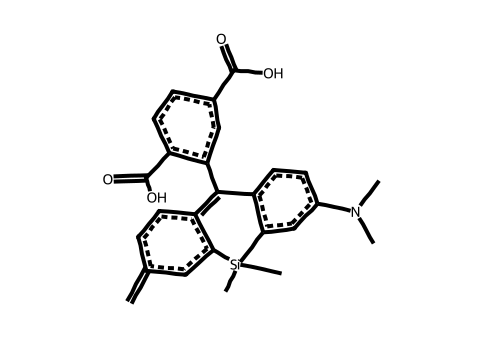 C=c1ccc2c(c1)[Si](C)(C)c1cc(N(C)C)ccc1C=2c1cc(C(=O)O)ccc1C(=O)O